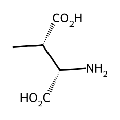 C[C@H](C(=O)O)[C@H](N)C(=O)O